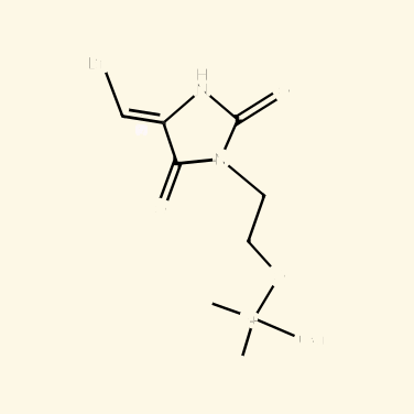 CC(C)(C)[Si](C)(C)OCCN1C(=O)N/C(=C\Br)C1=O